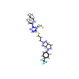 C=C/C=N\C(=C/C)c1nnc(SCCCN2CC3CCN(c4ccc(C(F)(F)F)cc4)C3C2)n1C